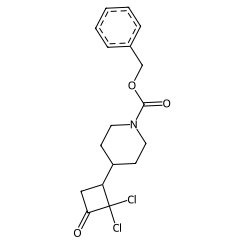 O=C(OCc1ccccc1)N1CCC(C2CC(=O)C2(Cl)Cl)CC1